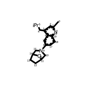 Cc1cc(CC(C)C)c2cc(N3CC4CCC(C3)O4)ccc2n1